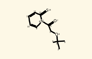 CC(C)(C)OCC(=O)n1ccccc1=S